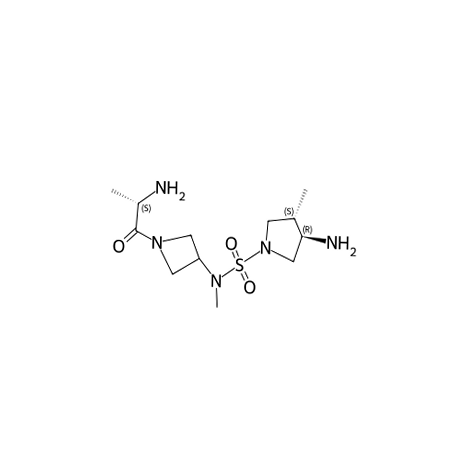 C[C@H](N)C(=O)N1CC(N(C)S(=O)(=O)N2C[C@H](C)[C@@H](N)C2)C1